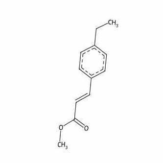 CCc1ccc(C=CC(=O)OC)cc1